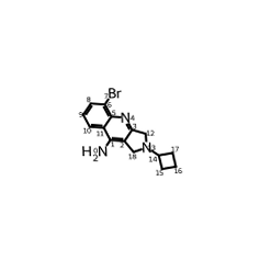 Nc1c2c(nc3c(Br)cccc13)CN(C1CCC1)C2